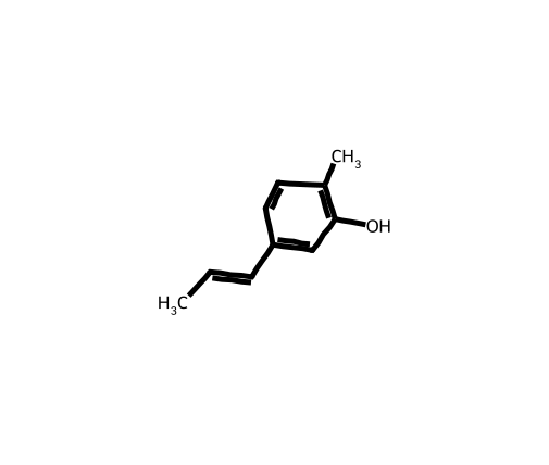 CC=Cc1ccc(C)c(O)c1